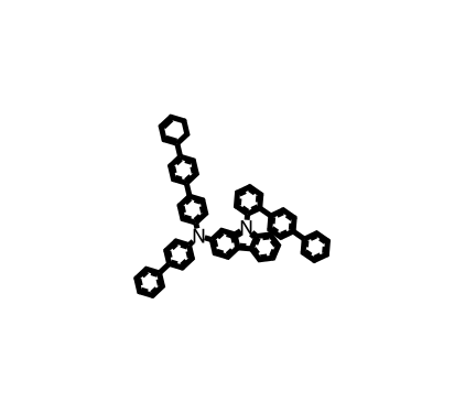 C1=CCCC(c2ccc(-c3ccc(N(c4ccc(-c5ccccc5)cc4)c4ccc5c6ccccc6n(-c6ccccc6-c6ccc(-c7ccccc7)cc6)c5c4)cc3)cc2)=C1